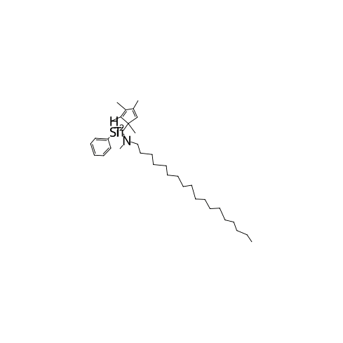 CCCCCCCCCCCCCCCCCC[N](C)[Ti]([SiH2]c1ccccc1)[C]1(C)C=C(C)C(C)=C1C